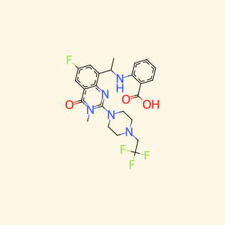 CC(Nc1ccccc1C(=O)O)c1cc(F)cc2c(=O)n(C)c(N3CCN(CC(F)(F)F)CC3)nc12